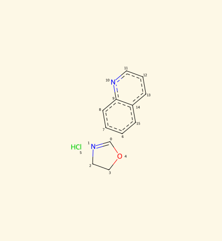 C1=NCCO1.Cl.c1ccc2ncccc2c1